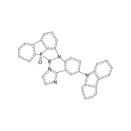 O=P12B3N(c4ccc(-n5c6ccccc6c6ccccc65)cc4-c4nccn43)c3cccc(c31)-c1ccccc12